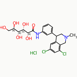 CN1Cc2c(Cl)cc(Cl)cc2C(c2cccc(NC(=O)[C@H](O)[C@@H](O)[C@H](O)[C@H](O)CO)c2)C1.Cl